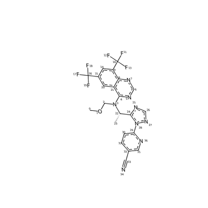 COCN(c1ncnc2c(C(F)(F)F)cc(C(F)(F)F)cc12)[C@@H](C)c1ncnn1-c1ccc(C#N)cn1